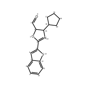 O=CC1OC(c2cc3ccccc3s2)=NC1C1CCCC1